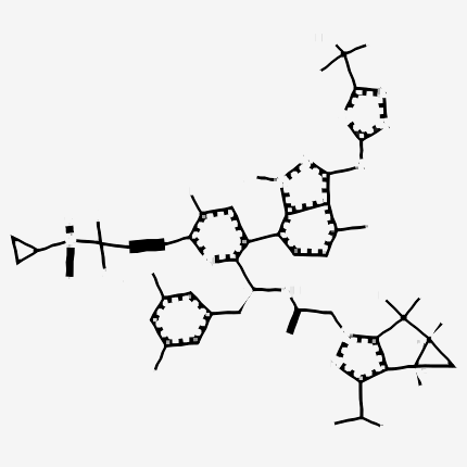 Cn1nc(Nc2nnc(C(C)(C)O)o2)c2c(Cl)ccc(-c3cc(I)c(C#CC(C)(C)S(=O)(=O)C4CC4)nc3[C@H](Cc3cc(F)cc(F)c3)NC(=O)Cn3nc(C(F)F)c4c3C(F)(F)[C@@H]3C[C@H]43)c21